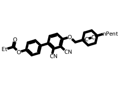 CCCCCC12CCC(COc3ccc(-c4ccc(OC(=O)CC)cc4)c(C#N)c3C#N)(CC1)CC2